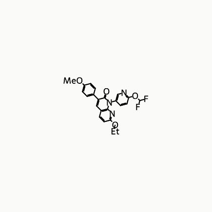 CCOc1ccc2cc(-c3ccc(OC)cc3)c(=O)n(-c3ccc(OC(F)F)nc3)c2n1